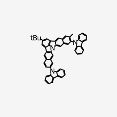 Cc1cc2cc3c4cc(C(C)(C)C)cc5c6cc7ccc(-n8c9ccccc9c9ccccc98)cc7cc6n(c3cc2cc1-n1c2ccccc2c2ccccc21)c54